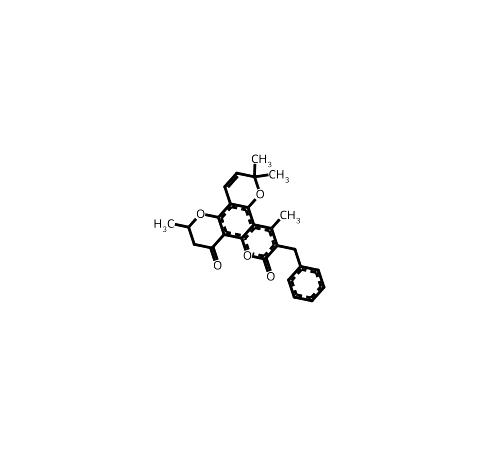 Cc1c(Cc2ccccc2)c(=O)oc2c3c(c4c(c12)OC(C)(C)C=C4)OC(C)CC3=O